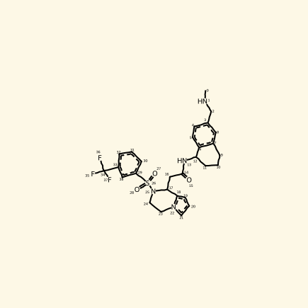 CNCc1ccc2c(c1)CCCC2NC(=O)CC1c2cccn2CCN1S(=O)(=O)c1cccc(C(F)(F)F)c1